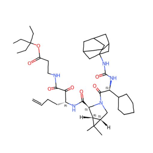 C=CCC[C@@H](NC(=O)[C@@H]1[C@@H]2[C@H](CN1C(=O)[C@@H](NC(=O)NC13CC4CC(CC(C4)C1)C3)C1CCCCC1)C2(C)C)C(=O)C(=O)NCCC(=O)OC(CC)(CC)CC